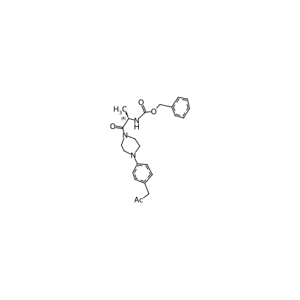 CC(=O)Cc1ccc(N2CCN(C(=O)[C@@H](C)NC(=O)OCc3ccccc3)CC2)cc1